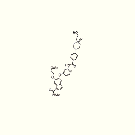 CNC(=O)n1ccc2cc(Oc3ccnc(NC(=O)c4ccc([C@H]5CC[N@@+]([O-])(CCO)CC5)cc4)c3)c(OCCOC)cc21